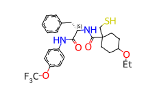 CCOC1CCC(CS)(C(=O)N[C@@H](Cc2ccccc2)C(=O)Nc2ccc(OC(F)(F)F)cc2)CC1